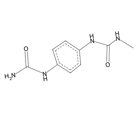 CNC(=O)Nc1ccc(NC(N)=O)cc1